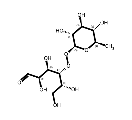 C[C@H]1O[C@@H](OO[C@@H]([C@H](O)[C@@H](O)C=O)[C@H](O)CO)[C@H](O)[C@@H](O)[C@@H]1O